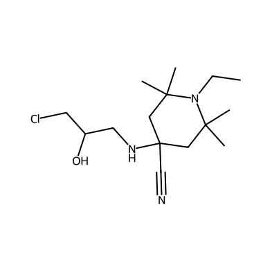 CCN1C(C)(C)CC(C#N)(NCC(O)CCl)CC1(C)C